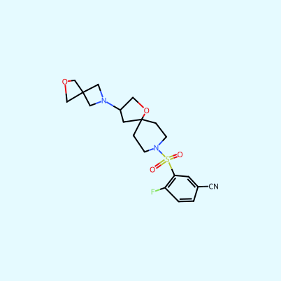 N#Cc1ccc(F)c(S(=O)(=O)N2CCC3(CC2)CC(N2CC4(COC4)C2)CO3)c1